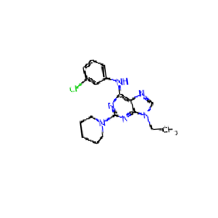 CCn1cnc2c(Nc3cccc(Cl)c3)nc(N3CCCCC3)nc21